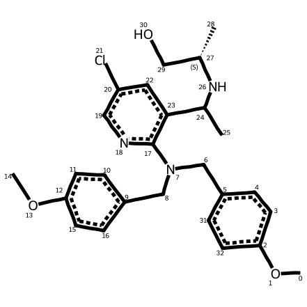 COc1ccc(CN(Cc2ccc(OC)cc2)c2ncc(Cl)cc2C(C)N[C@@H](C)CO)cc1